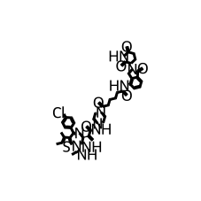 C=C(C(=O)NN1CCN(C(=O)CCCCC(=O)Nc2cccc3c2CN(C2CCC(=O)NC2=O)C3=O)CC1)[C@@H]1N=C(c2ccc(Cl)cc2)c2c(sc(C)c2C)N(C(C)=N)C1=N